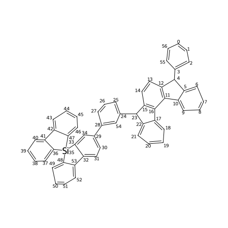 c1ccc(C2c3ccccc3-c3c2ccc2c3-c3ccccc3C2c2cccc(-c3ccc4c(c3)[Si]3(c5ccccc5-c5ccccc53)c3ccccc3-4)c2)cc1